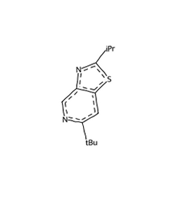 CC(C)c1nc2cnc(C(C)(C)C)cc2s1